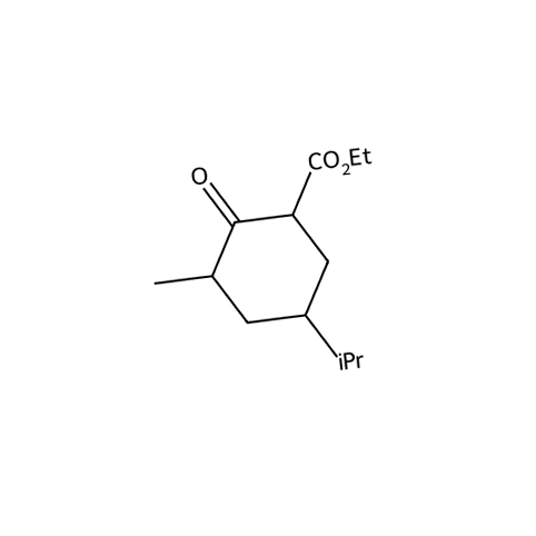 CCOC(=O)C1CC(C(C)C)CC(C)C1=O